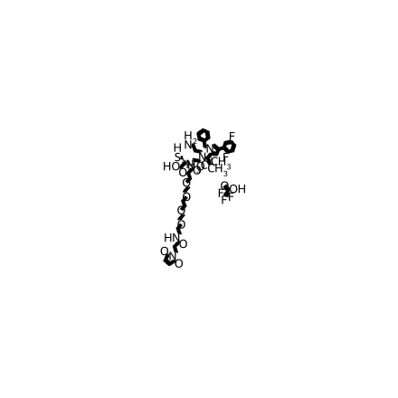 CC(C)(C)[C@H](c1cc(-c2cc(F)ccc2F)cn1Cc1ccccc1)N(CCCN)C(=O)CN(C(=O)CCOCCOCCOCCOCCNC(=O)CCN1C(=O)C=CC1=O)[C@@H](CS)C(=O)O.O=C(O)C(F)(F)F